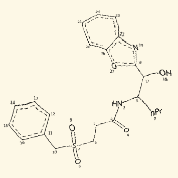 CCCC(NC(=O)CCS(=O)(=O)Cc1ccccc1)C(O)c1nc2ccccc2o1